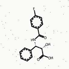 O=C(N[C@@H](c1ccccc1)[C@H](O)C(=O)O)c1ccc(F)cc1